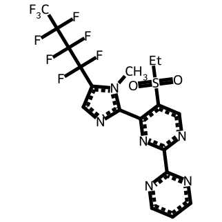 CCS(=O)(=O)c1cnc(-c2ncccn2)nc1-c1ncc(C(F)(F)C(F)(F)C(F)(F)C(F)(F)F)n1C